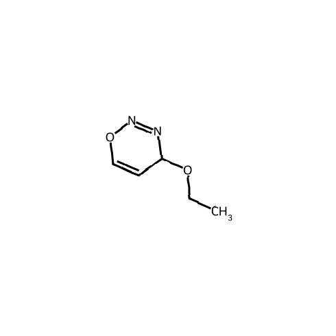 CCOC1C=CON=N1